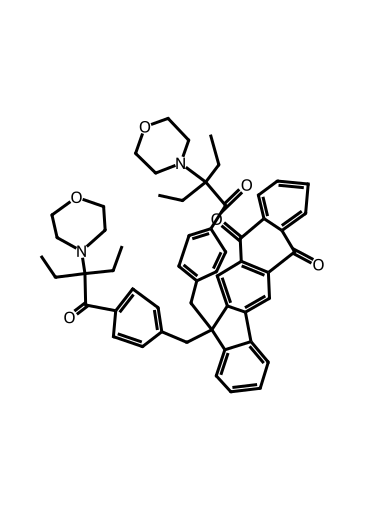 CCC(CC)(C(=O)c1ccc(CC2(Cc3ccc(C(=O)C(CC)(CC)N4CCOCC4)cc3)c3ccccc3-c3cc4c(cc32)C(=O)c2ccccc2C4=O)cc1)N1CCOCC1